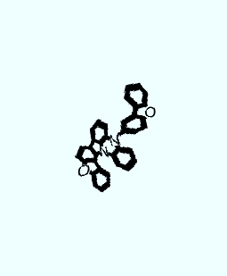 c1ccc2c(c1)N(c1ccc3oc4ccccc4c3c1)c1cccc3c4ccc5oc6ccccc6c5c4n-2c13